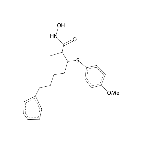 COc1ccc(SC(CCCCc2ccccc2)C(C)C(=O)NO)cc1